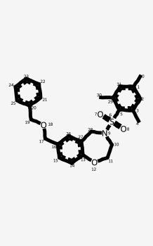 Cc1cc(C)c(S(=O)(=O)N2CCOc3ccc(COCc4ccccc4)cc3C2)c(C)c1